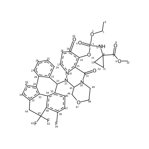 CCOP(=O)(NC1(C(=O)OC)CC1)Oc1c2n(ccc1=O)N(C1c3ccccc3-c3scc4c3-c3c1ccc(F)c3C(F)(F)C4)C1COCCN1C2=O